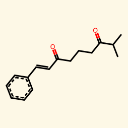 CC(C)C(=O)CCCC(=O)/C=C/c1ccccc1